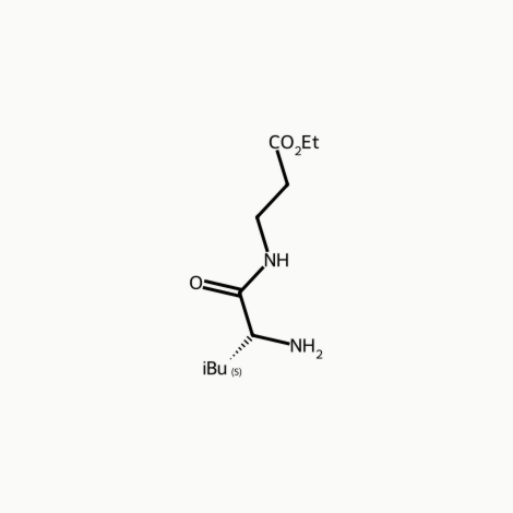 CCOC(=O)CCNC(=O)C(N)[C@@H](C)CC